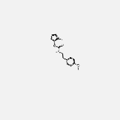 COc1ccc(CCNC(=O)Oc2cccn2C)cc1